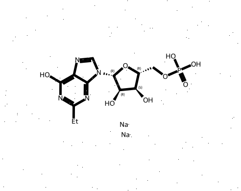 CCc1nc(O)c2ncn([C@@H]3O[C@H](COP(=O)(O)O)[C@@H](O)[C@H]3O)c2n1.[Na].[Na]